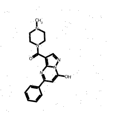 CN1CCN(C(=O)c2cnn3c(O)cc(-c4ccccc4)nc23)CC1